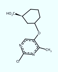 Cc1nc(Cl)ncc1OC1CCC[C@H](C(=O)O)C1